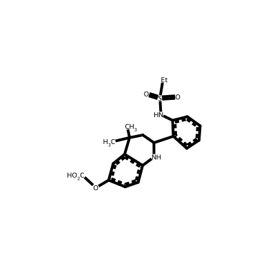 CCS(=O)(=O)Nc1ccccc1C1CC(C)(C)c2cc(OC(=O)O)ccc2N1